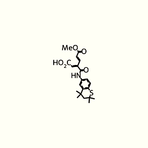 COC(=O)C=CC(=CC(=O)O)C(=O)Nc1ccc2c(c1)C(C)(C)CC(C)(C)S2